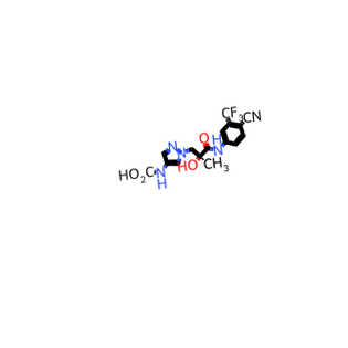 C[C@](O)(Cn1cc(NC(=O)O)cn1)C(=O)Nc1ccc(C#N)c(C(F)(F)F)c1